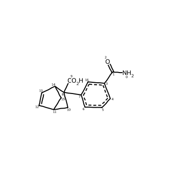 NC(=O)c1cccc(C2(C(=O)O)CC3C=CC2C3)c1